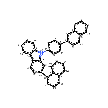 c1ccc2cc(-c3ccc(-n4c5ccccc5c5ccc6c(c54)-c4cccc5cccc-6c45)cc3)ccc2c1